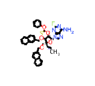 C/C=C/[C@]1(COCc2ccc3ccccc3c2)O[C@@H](n2cnc3c(N)nc(F)nc32)[C@H](OC(=S)Oc2ccccc2)[C@@H]1OCc1ccc2ccccc2c1